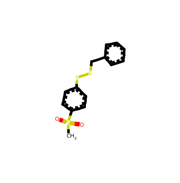 CS(=O)(=O)c1ccc(SSCc2ccccc2)cc1